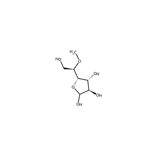 CO[C@H](CO)[C@H]1OC(O)[C@H](O)[C@H]1O